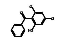 O=C(c1ccccc1)c1c(O)cc(Cl)cc1Cl